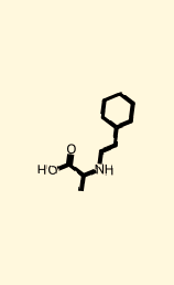 CC(NCCC1CCCCC1)C(=O)O